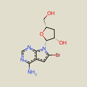 Nc1ncnc2c1cc(Br)n2[C@@H]1O[C@H](CO)C[C@@H]1O